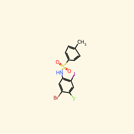 Cc1ccc(S(=O)(=O)Nc2cc(Br)c(F)cc2I)cc1